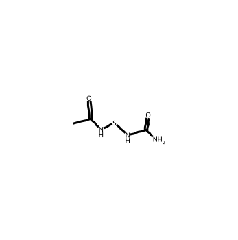 CC(=O)NSNC(N)=O